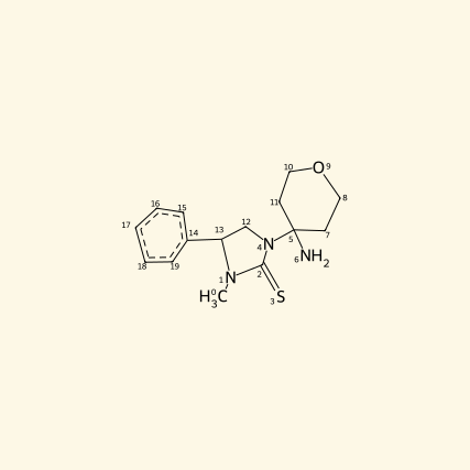 CN1C(=S)N(C2(N)CCOCC2)CC1c1ccccc1